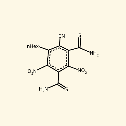 CCCCCCc1c(C#N)c(C(N)=S)c([N+](=O)[O-])c(C(N)=S)c1[N+](=O)[O-]